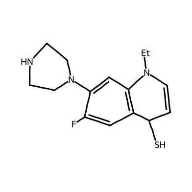 CCN1C=CC(S)c2cc(F)c(N3CCNCC3)cc21